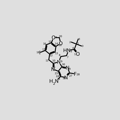 CC(C)(C)C(=O)NCCn1c(Cc2cc3c(cc2I)OCO3)nc2c(N)nc(F)nc21